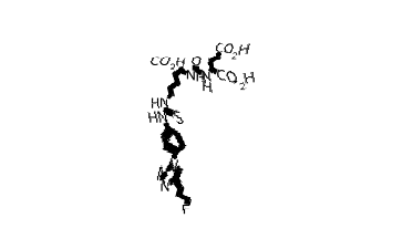 O=C(O)CCC(NC(=O)NC(CCCCNC(=S)Nc1ccc(-n2cc(CCCF)nn2)cc1)C(=O)O)C(=O)O